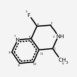 CC1NCC(F)c2ncccc21